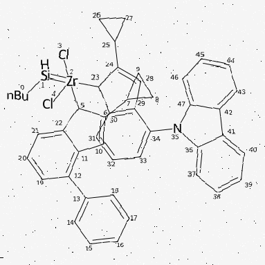 CCCC[SiH]=[Zr]([Cl])([Cl])([CH]1C(C2CC2)=Cc2c(-c3ccccc3)cccc21)[CH]1C(C2CC2)=Cc2c1cccc2-n1c2ccccc2c2ccccc21